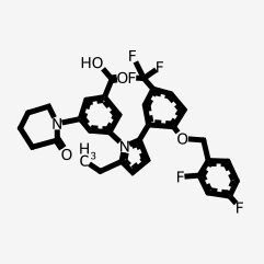 CCc1ccc(-c2cc(C(F)(F)F)ccc2OCc2ccc(F)cc2F)n1-c1cc(C(=O)O)cc(N2CCCCC2=O)c1